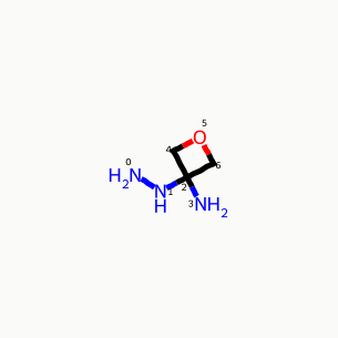 NNC1(N)COC1